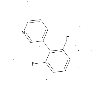 Fc1cccc(F)c1-c1cc[c]nc1